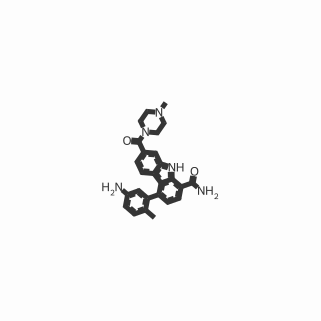 Cc1ccc(N)cc1-c1ccc(C(N)=O)c2[nH]c3cc(C(=O)N4CCN(C)CC4)ccc3c12